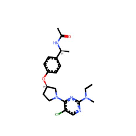 CCN(C)c1ncc(Cl)c(N2CC[C@@H](Oc3ccc([C@H](C)NC(C)=O)cc3)C2)n1